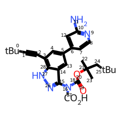 CC(C)(C)C#Cc1cc(-c2ccnc(N)c2)cc2c(N(C(=O)O)C(=O)OC(C)(C)CC(C)(C)C)n[nH]c12